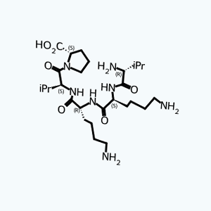 CC(C)[C@H](NC(=O)[C@@H](CCCCN)NC(=O)[C@H](CCCCN)NC(=O)[C@H](N)C(C)C)C(=O)N1CCC[C@H]1C(=O)O